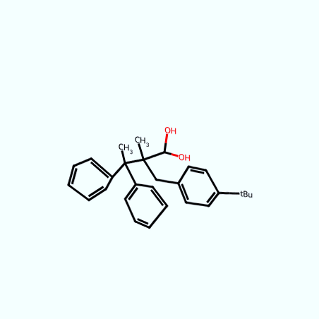 CC(C)(C)c1ccc(CC(C)(C(O)O)C(C)(c2ccccc2)c2ccccc2)cc1